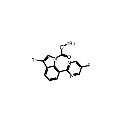 CC(C)(C)OC(=O)n1cc(Br)c2cccc(-c3ncc(F)cn3)c21